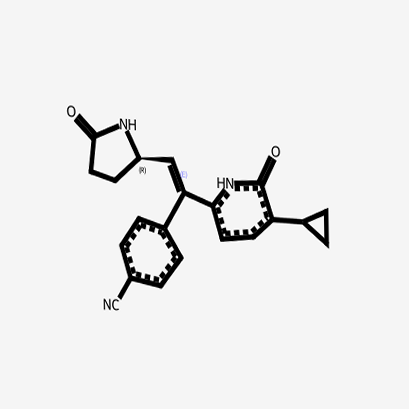 N#Cc1ccc(/C(=C\[C@H]2CCC(=O)N2)c2ccc(C3CC3)c(=O)[nH]2)cc1